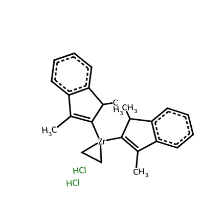 CC1=[C]([Zr]2([C]3=C(C)c4ccccc4C3C)[CH2][CH2]2)C(C)c2ccccc21.Cl.Cl